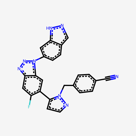 N#Cc1ccc(Cn2nccc2-c2cc3c(cc2F)nnn3-c2ccc3cn[nH]c3c2)cc1